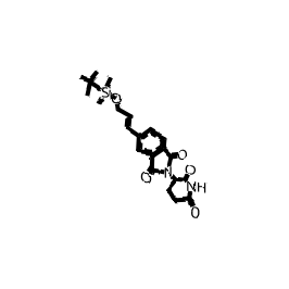 CC(C)(C)[Si](C)(C)OC/C=C/c1ccc2c(c1)C(=O)N(C1CCC(=O)NC1=O)C2=O